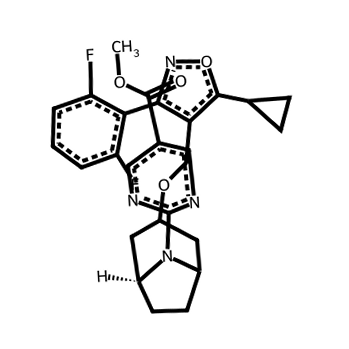 COC(=O)c1cnc(N2C3CC[C@H]2CC(OCc2c(-c4c(F)cccc4F)noc2C2CC2)C3)nc1